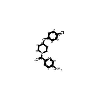 Nc1ccc(C(=O)N2CCC(Oc3ccc(Cl)cc3)CC2)nc1